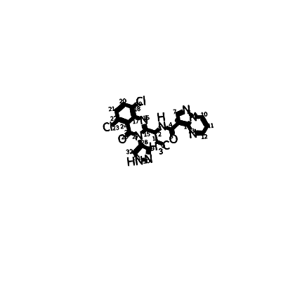 CC[C@H](NC(=O)c1cnn2cccnc12)c1nc2c(Cl)ccc(Cl)c2c(=O)n1-c1cn[nH]c1